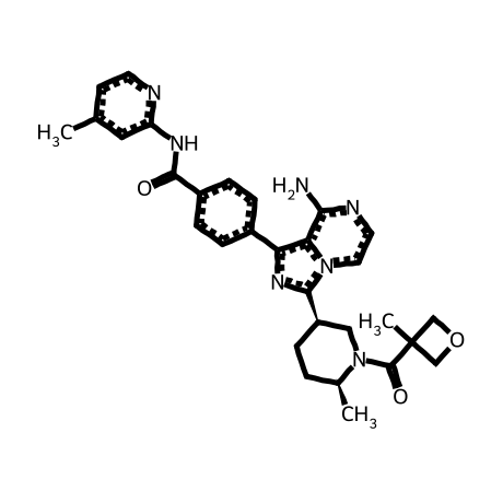 Cc1ccnc(NC(=O)c2ccc(-c3nc([C@@H]4CC[C@H](C)N(C(=O)C5(C)COC5)C4)n4ccnc(N)c34)cc2)c1